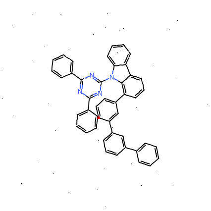 c1ccc(-c2cccc(-c3cccc(-c4cccc5c6ccccc6n(-c6nc(-c7ccccc7)nc(-c7ccccc7)n6)c45)c3)c2)cc1